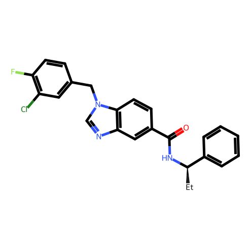 CC[C@@H](NC(=O)c1ccc2c(c1)ncn2Cc1ccc(F)c(Cl)c1)c1ccccc1